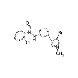 Cn1cc(Br)c(-c2cccc(NN(C=O)c3ccccc3Cl)c2)n1